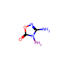 Nc1noc(=O)n1P